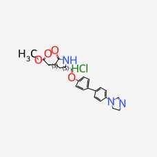 COC(=O)C[C@@H]1C[C@@H](COc2ccc(-c3ccc(N4C=NCC4)cc3)cc2)NC1=O.Cl